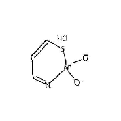 Cl.[O-][N+]1([O-])N=CC=CS1